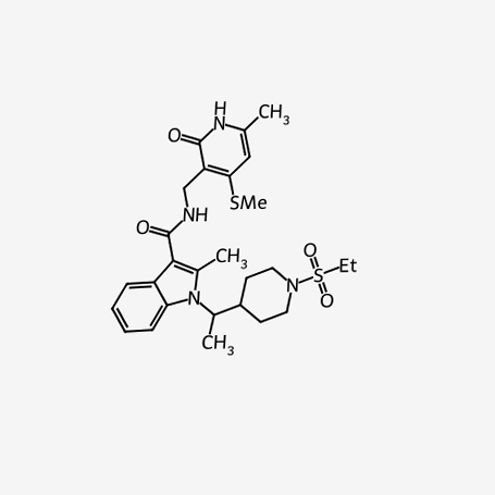 CCS(=O)(=O)N1CCC(C(C)n2c(C)c(C(=O)NCc3c(SC)cc(C)[nH]c3=O)c3ccccc32)CC1